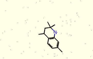 Cc1ccc2c(c1)[N]C(C)(C)CC2C